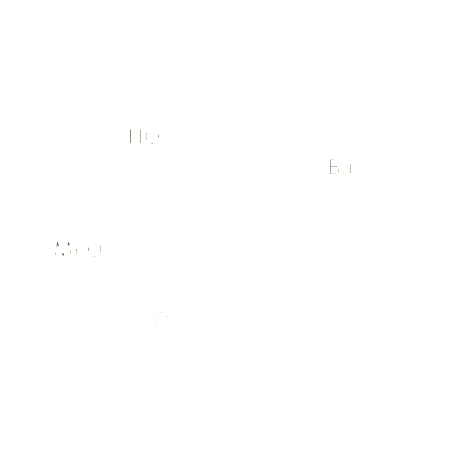 COC(=O)CCC(CCO)(c1ccccc1)C(C)(C)C